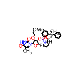 CC[C@H]1O[C@@H](n2cc(C)c(=O)[nH]c2=O)C(OCCOC)[C@H]1O[P@]1O[C@H](C[Si](C)(c2ccccc2)c2ccccc2)[C@@H]2CCCN21